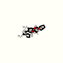 Cc1cc(C(=O)NC2CC3CCC(C2)N3c2ccc(C(=O)N[C@@H]3CCN(C(C)C)C3)cn2)c(C)cc1C(N)=O